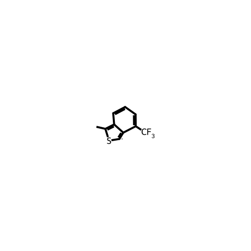 Cc1s[c]c2c(C(F)(F)F)cccc12